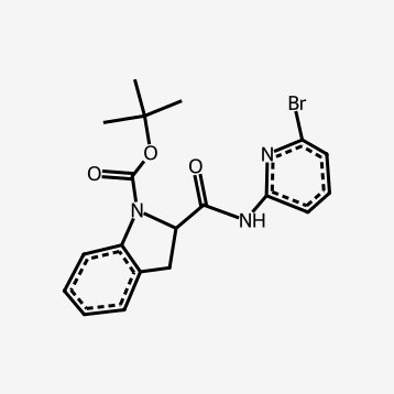 CC(C)(C)OC(=O)N1c2ccccc2CC1C(=O)Nc1cccc(Br)n1